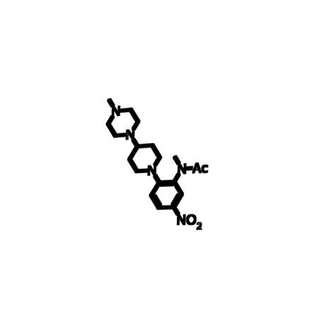 CC(=O)N(C)c1cc([N+](=O)[O-])ccc1N1CCC(N2CCN(C)CC2)CC1